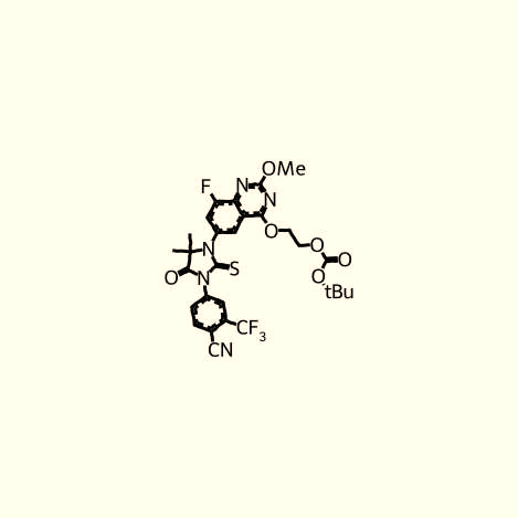 COc1nc(OCCOC(=O)OC(C)(C)C)c2cc(N3C(=S)N(c4ccc(C#N)c(C(F)(F)F)c4)C(=O)C3(C)C)cc(F)c2n1